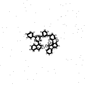 CC1(C)c2ccccc2-c2ccc3oc4ccc(-c5cccc(-c6nc(-c7ccccc7)nc(-c7cccc8ccccc78)n6)c5)cc4c3c21